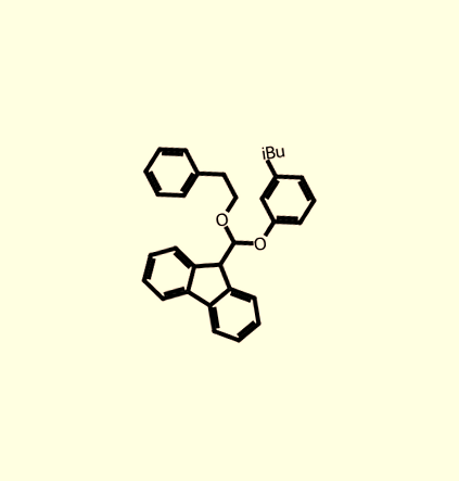 CCC(C)c1cccc(OC(OCCc2ccccc2)C2c3ccccc3-c3ccccc32)c1